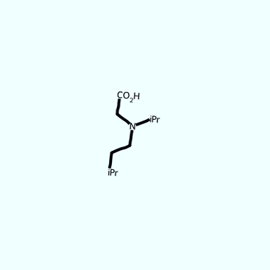 CC(C)CCN(CC(=O)O)C(C)C